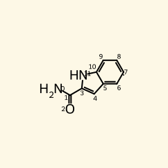 NC(=O)c1cc2c[c]ccc2[nH]1